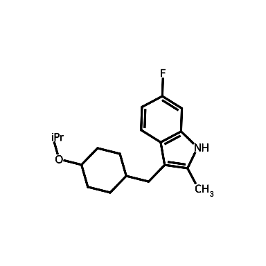 Cc1[nH]c2cc(F)ccc2c1CC1CCC(OC(C)C)CC1